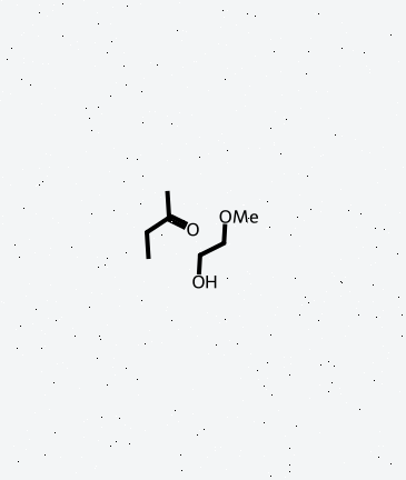 CCC(C)=O.COCCO